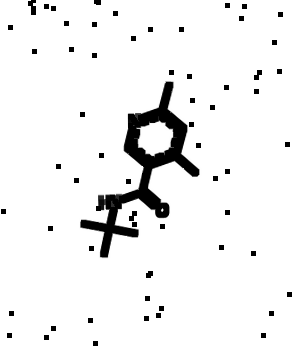 Cc1cc(C)c(C(=O)NC(C)(C)C)cn1